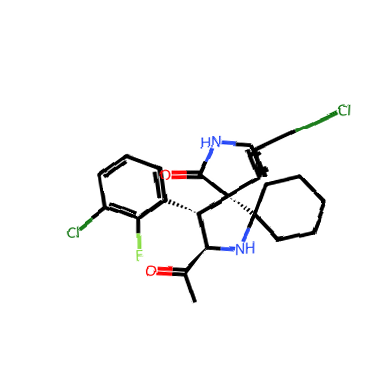 CC(=O)[C@@H]1NC2(CCCCC2)[C@@]2(C(=O)Nc3cc(Cl)ccc32)[C@H]1c1cccc(Cl)c1F